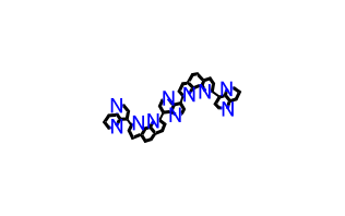 c1cnc2c(-c3ccc4ccc5ccc(-c6ccnc7c(-c8ccc9ccc%10ccc(-c%11ccnc%12cccnc%11%12)nc%10c9n8)ccnc67)nc5c4n3)ccnc2c1